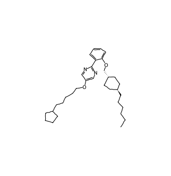 CCCCCC[C@H]1CC[C@H](COc2ccccc2-c2ncc(OCCCCCC3CCCC3)cn2)CC1